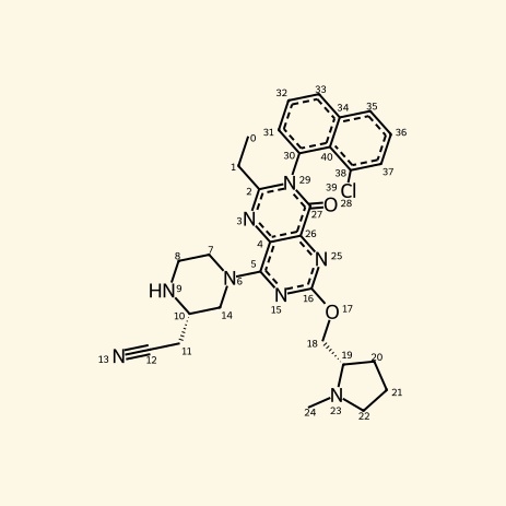 CCc1nc2c(N3CCN[C@@H](CC#N)C3)nc(OC[C@@H]3CCCN3C)nc2c(=O)n1-c1cccc2cccc(Cl)c12